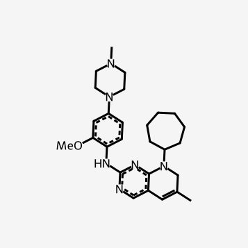 COc1cc(N2CCN(C)CC2)ccc1Nc1ncc2c(n1)N(C1CCCCCC1)CC(C)=C2